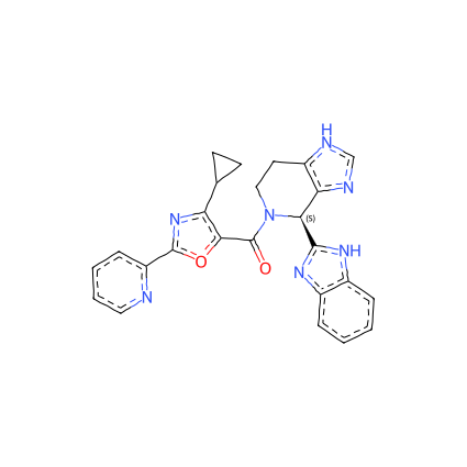 O=C(c1oc(-c2ccccn2)nc1C1CC1)N1CCc2[nH]cnc2[C@H]1c1nc2ccccc2[nH]1